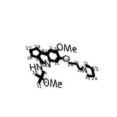 COc1cc2c3c(c(NCC(C)(C)OC)nc2cc1OCCCN1CCCC1)CCC3